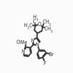 COc1ncccc1-c1nc(C2CC(C)(C)OC(C)(C)C2)cn1-c1ccc(F)c(Br)c1